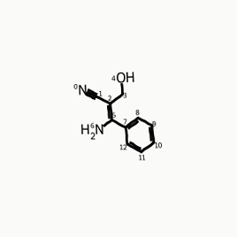 N#CC(CO)=C(N)c1ccccc1